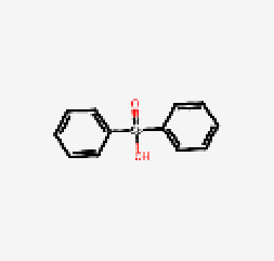 [O]=[Sb]([OH])([c]1ccccc1)[c]1ccccc1